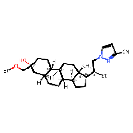 CCOC[C@@]1(O)CC[C@H]2[C@H](CC[C@@H]3[C@@H]2CC[C@]2(C)[C@@H]([C@H](CC)Cn4ccc(C#N)n4)CC[C@@H]32)C1